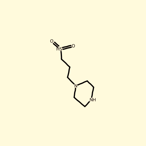 O=[SH](=O)CCCN1CCNCC1